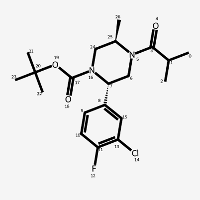 CC(C)C(=O)N1C[C@H](c2ccc(F)c(Cl)c2)N(C(=O)OC(C)(C)C)C[C@H]1C